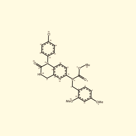 COc1ccc(CN(C(=O)OC(C)(C)C)c2ccc3c(n2)CNC(=O)N3c2ccc(Cl)cc2)c(OC)c1